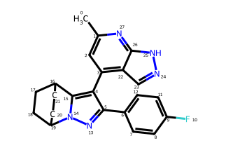 Cc1cc(-c2c(-c3ccc(F)cc3)nn3c2C2CCC3CC2)c2cn[nH]c2n1